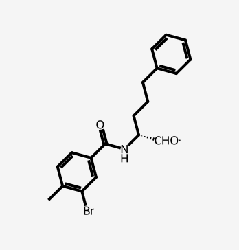 Cc1ccc(C(=O)N[C@@H]([C]=O)CCCc2ccccc2)cc1Br